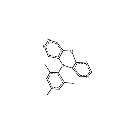 Cc1cc(C)c(N2c3cnccc3Oc3cnncc32)c(C)c1